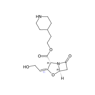 O=C(OCCC1CCNCC1)[C@H]1/C(=C\CO)O[C@@H]2CC(=O)N21